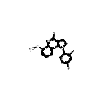 Cc1cc(F)ccc1-n1ccc2c(=O)[nH]c3c(OC(F)(F)F)cccc3c21